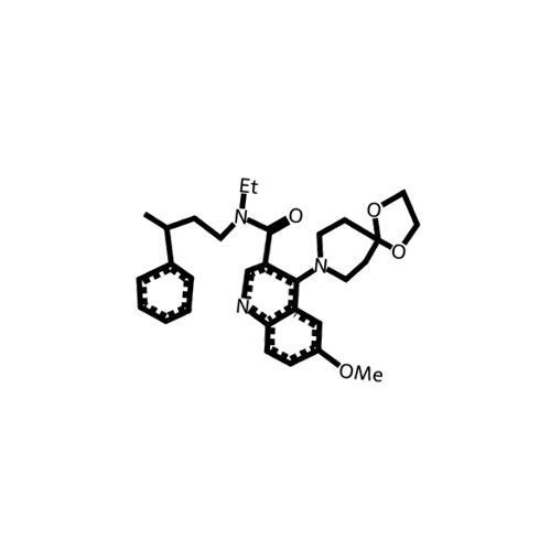 CCN(CCC(C)c1ccccc1)C(=O)c1cnc2ccc(OC)cc2c1N1CCC2(CC1)OCCO2